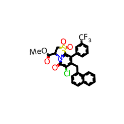 COC(=O)C1CS(=O)(=O)c2c(-c3cccc(C(F)(F)F)c3)c(Cc3cccc4ccccc34)c(Cl)c(=O)n21